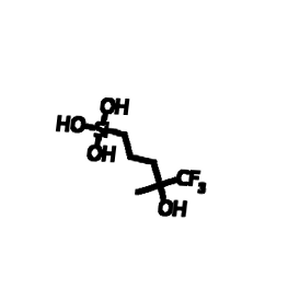 CC(O)(CCC[Si](O)(O)O)C(F)(F)F